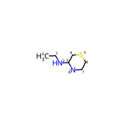 CCNC1CSCC[N]1